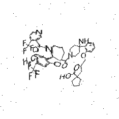 CCC[C@H]1N(C(=O)c2cnccc2C(F)(F)F)CCC[C@@]1(Oc1csc(C(F)(F)F)c1)C(=O)N1CCC(N)(c2ccccc2OCCCC2(C(=O)O)CCCC2)CC1